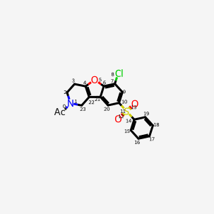 CC(=O)N1CCc2oc3c(Cl)cc(S(=O)(=O)c4ccccc4)cc3c2C1